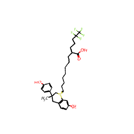 CC1(c2ccc(O)cc2)Cc2ccc(O)cc2S(=CCCCCCCCC(CCCC(F)(F)C(F)(F)F)C(=O)O)C1